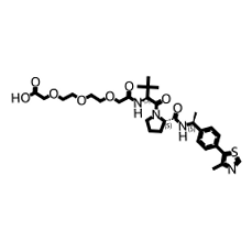 Cc1ncsc1-c1ccc([C@H](C)NC(=O)[C@@H]2CCCN2C(=O)[C@@H](NC(=O)COCCOCCOCC(=O)O)C(C)(C)C)cc1